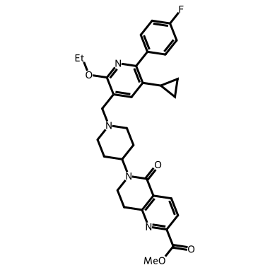 CCOc1nc(-c2ccc(F)cc2)c(C2CC2)cc1CN1CCC(N2CCc3nc(C(=O)OC)ccc3C2=O)CC1